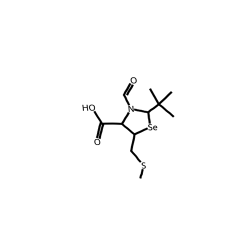 CSCC1[Se]C(C(C)(C)C)N(C=O)C1C(=O)O